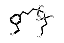 C=Cc1cccc(CCC[Si](C)(C)O[Si](C)(C)CCCC)c1